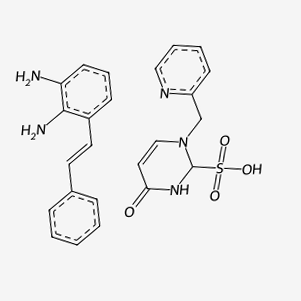 Nc1cccc(C=Cc2ccccc2)c1N.O=C1C=CN(Cc2ccccn2)C(S(=O)(=O)O)N1